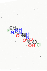 CC(F)c1cnc(C(=O)NC23CCC(NC(=O)[C@H]4C[C@@H](O)c5cc(Cl)ccc5O4)(CC2)CC3)cn1